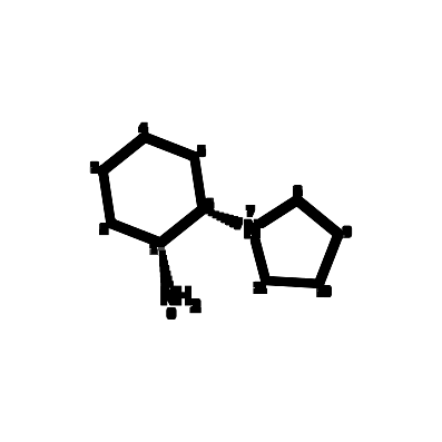 N[C@@H]1CCCC[C@@H]1N1CCCC1